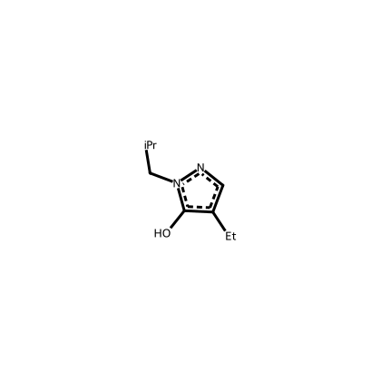 CCc1cnn(CC(C)C)c1O